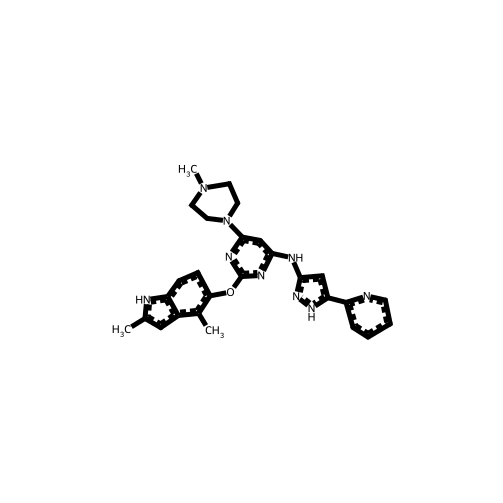 Cc1cc2c(C)c(Oc3nc(Nc4cc(-c5ccccn5)[nH]n4)cc(N4CCN(C)CC4)n3)ccc2[nH]1